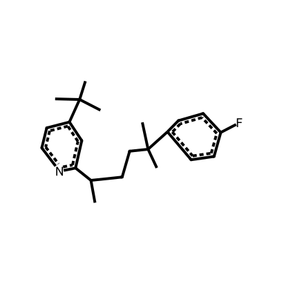 CC(CCC(C)(C)c1ccc(F)cc1)c1cc(C(C)(C)C)ccn1